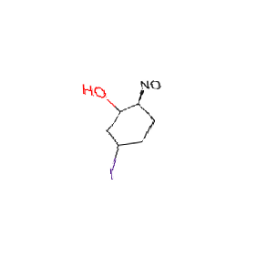 O=N[C@H]1CCC(I)CC1O